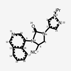 CC(C)n1cc(N2CC(C#N)N(c3cncc4ccccc34)C2=O)cn1